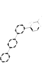 ClC1N=CC=C(c2cccc(-c3ccc(-c4ccccc4)cc3)c2)N1